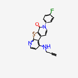 C#CCNc1ccnc2sc3c(=O)n(-c4ccc(F)cc4)ccc3c12